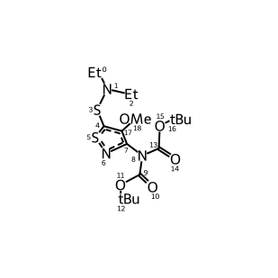 CCN(CC)Sc1snc(N(C(=O)OC(C)(C)C)C(=O)OC(C)(C)C)c1OC